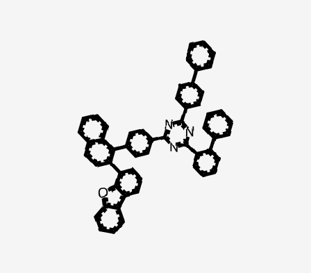 c1ccc(-c2ccc(-c3nc(-c4ccc(-c5c(-c6cccc7c6oc6ccccc67)ccc6ccccc56)cc4)nc(-c4ccccc4-c4ccccc4)n3)cc2)cc1